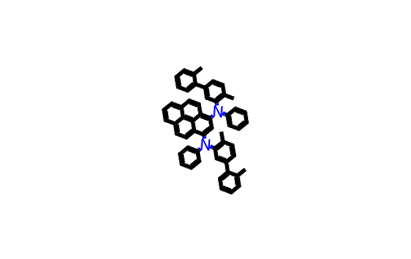 Cc1ccccc1-c1ccc(C)c(N(c2ccccc2)c2cc(N(c3ccccc3)c3cc(-c4ccccc4C)ccc3C)c3ccc4cccc5ccc2c3c54)c1